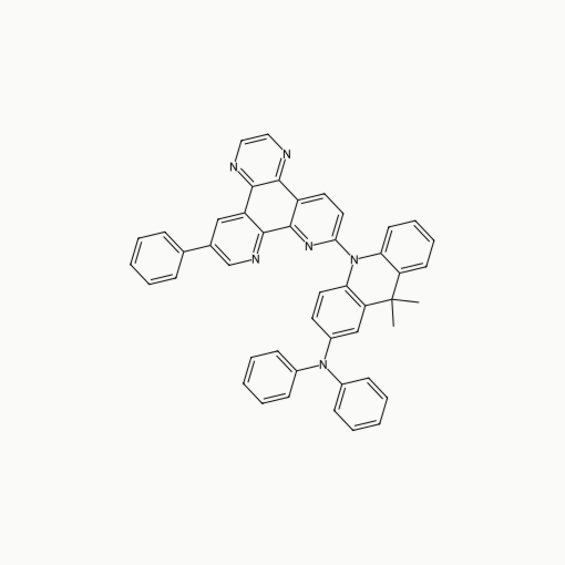 CC1(C)c2ccccc2N(c2ccc3c4nccnc4c4cc(-c5ccccc5)cnc4c3n2)c2ccc(N(c3ccccc3)c3ccccc3)cc21